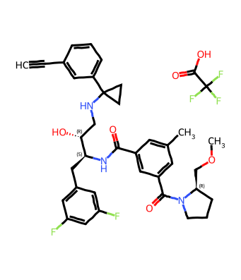 C#Cc1cccc(C2(NC[C@@H](O)[C@H](Cc3cc(F)cc(F)c3)NC(=O)c3cc(C)cc(C(=O)N4CCC[C@@H]4COC)c3)CC2)c1.O=C(O)C(F)(F)F